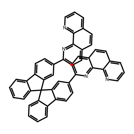 c1ccc2c(c1)-c1ccc(-c3ccc4ccc5cccnc5c4n3)cc1C21c2ccccc2-c2ccc(-c3ccc4ccc5cccnc5c4n3)cc21